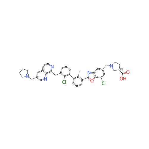 Cc1c(-c2nc3cc(CN4CC[C@@H](C(=O)O)C4)cc(Cl)c3o2)cccc1-c1cccc(Cc2nccc3cc(CN4CCCC4)cnc23)c1Cl